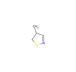 CC1[CH]SN=C1